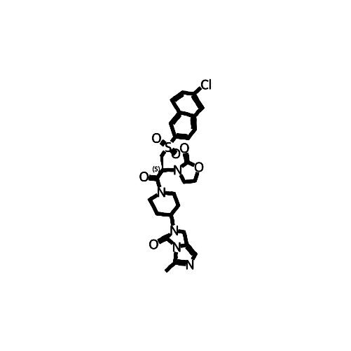 Cc1ncc2n1C(=O)N(C1CCN(C(=O)[C@@H](CS(=O)(=O)c3ccc4cc(Cl)ccc4c3)N3CCOC3=O)CC1)C2